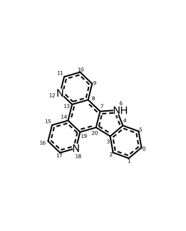 c1ccc2c(c1)[nH]c1c3cccnc3c3cccnc3c21